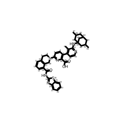 Cc1c(-c2ccc(N3CCc4cccc(C(=O)Nc5nc6ccccc6s5)c4C3)nc2C(=O)O)ccnc1NC12CC(C)CC(CC(C)C1)C2